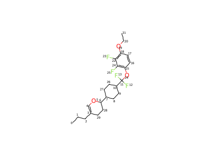 CCCC1=COC(C2CCC(C(F)(F)Oc3ccc(OCC)c(F)c3F)CC2)CC1